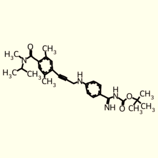 Cc1cc(C(=O)N(C)C(C)C)c(C)cc1C#CCNc1ccc(C(=N)NC(=O)OC(C)(C)C)cc1